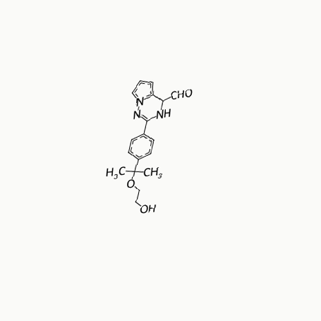 CC(C)(OCCO)c1ccc(C2=Nn3cccc3C(C=O)N2)cc1